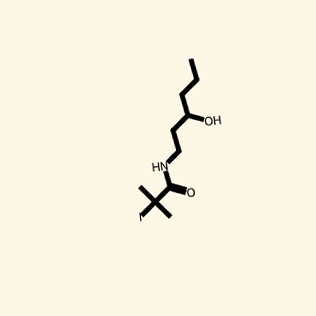 CCCC(O)CCNC(=O)C(C)(C)I